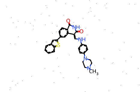 CN1CCN(c2ccc(NC=C3C(=O)NC(=O)c4ccc(-c5cc6ccccc6s5)cc43)cc2)CC1